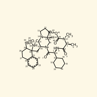 C[C@@H](C(=O)N[C@H](C(=O)N1C[C@H]2CCCN2C[C@@H]1CC1(NC(=O)O)c2ccccc2CCC1C(C)(C)C)C1CCCCC1)N(C)C(=O)OC(C)(C)C